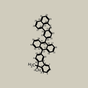 CC1(C)c2ccccc2-c2cc(-c3c4ccccc4c(-c4ccc5c(c4)-c4cccc6cccc(c46)S5)c4ccccc34)ccc21